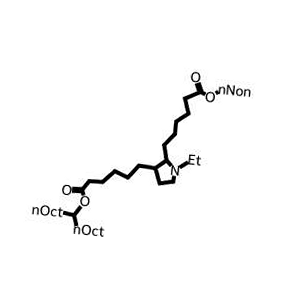 CCCCCCCCCOC(=O)CCCCCC1C(CCCCCC(=O)OC(CCCCCCCC)CCCCCCCC)CCN1CC